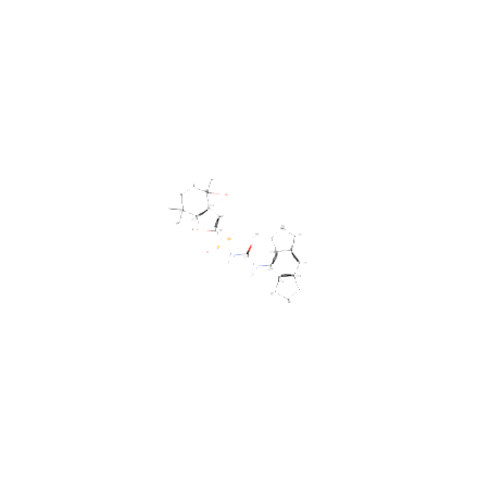 CC1(C)CCC(C)(O)c2cc(S(=O)(=O)NC(=O)Nc3c4c(cc5c3CCC5)CCC4)oc21